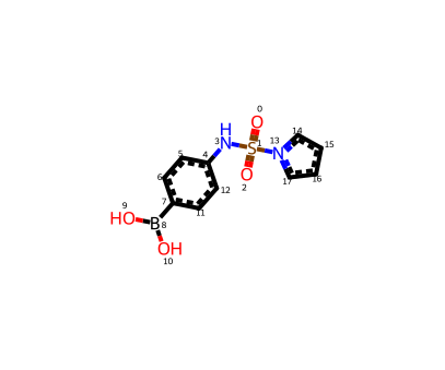 O=S(=O)(Nc1ccc(B(O)O)cc1)n1cccc1